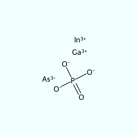 O=P([O-])([O-])[O-].[As-3].[Ga+3].[In+3]